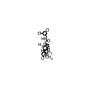 CN1C(=O)C=C[C@]2(C)[C@H]3CC[C@]4(C)[C@@H](CC(=O)NCc5cc(Cl)cc(Cl)c5)CC[C@H]4[C@@H]3CC[C@@H]12